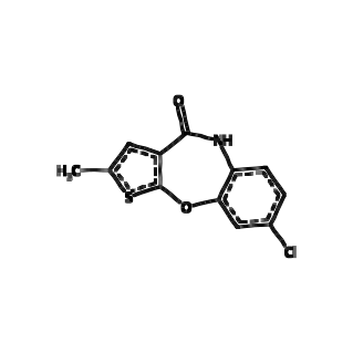 Cc1cc2c(s1)Oc1cc(Cl)ccc1NC2=O